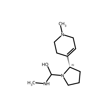 CNC(O)N1CCC[C@H]1C1=CCN(C)CC1